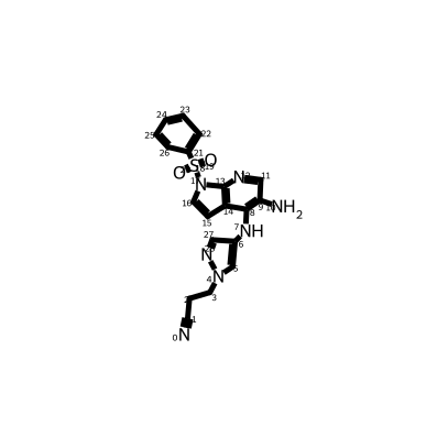 N#CCCn1cc(Nc2c(N)cnc3c2ccn3S(=O)(=O)c2ccccc2)cn1